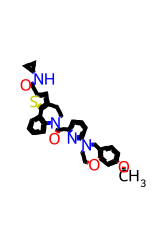 COc1ccc2c(c1)OCCN(c1cccc(C(=O)N3CCc4cc(C(=O)NC5CC5)sc4-c4ccccc43)n1)C2